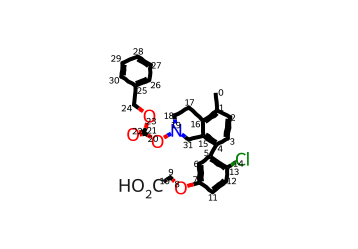 Cc1ccc(-c2cc(OCC(=O)O)ccc2Cl)c2c1CCN(OC(=O)OCc1ccccc1)C2